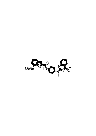 COc1cccc2cc(C(=O)N[C@H]3CC[C@@H](Nc4nc5c(c(N(C)C)n4)CCCC5)CC3)oc12